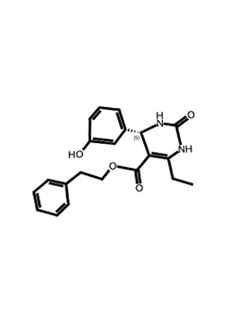 CCC1=C(C(=O)OCCc2ccccc2)[C@H](c2cccc(O)c2)NC(=O)N1